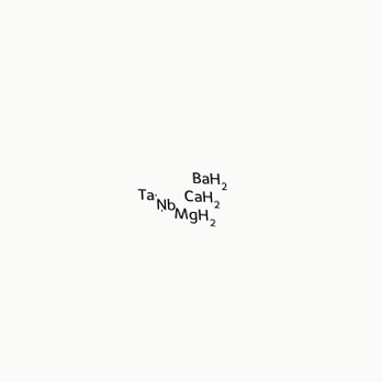 [BaH2].[CaH2].[MgH2].[Nb].[Ta]